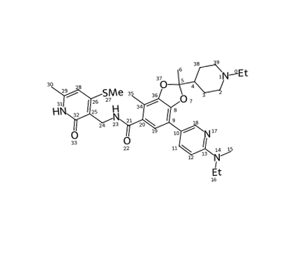 CCN1CCC(C2(C)Oc3c(-c4ccc(N(C)CC)nc4)cc(C(=O)NCc4c(SC)cc(C)[nH]c4=O)c(C)c3O2)CC1